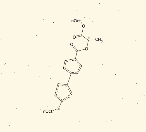 CCCCCCCCOC(=O)[C@H](C)OC(=O)c1ccc(-c2ccc(SCCCCCCCC)cc2)cc1